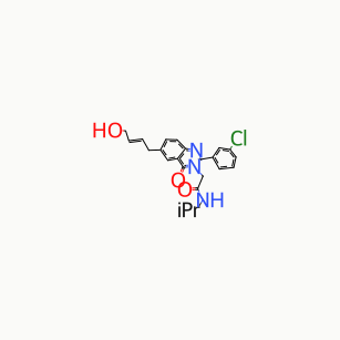 CC(C)NC(=O)Cn1c(-c2cccc(Cl)c2)nc2ccc(CC=CCO)cc2c1=O